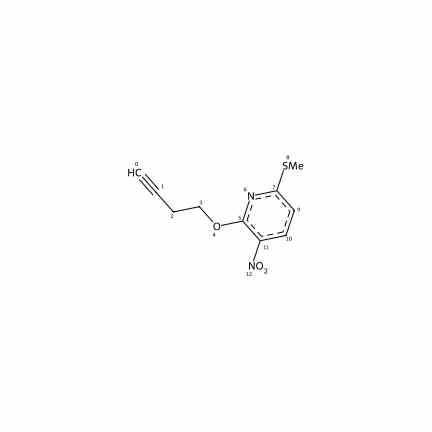 C#CCCOc1nc(SC)ccc1[N+](=O)[O-]